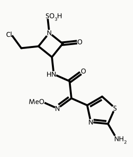 CON=C(C(=O)NC1C(=O)N(S(=O)(=O)O)C1CCl)c1csc(N)n1